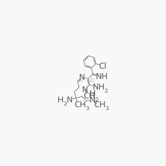 C=N/C(N)=C(\N=C/CCC(C)(N)CCNC)C(=N)c1ccccc1Cl